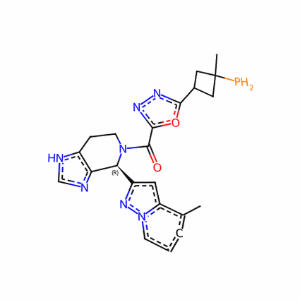 Cc1cccn2nc([C@H]3c4nc[nH]c4CCN3C(=O)c3nnc(C4CC(C)(P)C4)o3)cc12